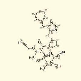 C#CCOC(C)[C@H](NC(=O)[C@H](C)N(C)C(=O)OC(C)(C)C)C(=O)N1CCC[C@H]1Cn1nnnc1Sc1ccccc1